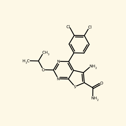 CC(C)Oc1nc(-c2ccc(Cl)c(Cl)c2)c2c(N)c(C(N)=O)sc2n1